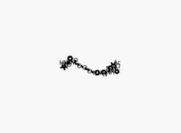 CC(=O)c1c(C)c2cnc(Nc3ccc(N4CCN(CCOCCOCCOCCC(=O)Nc5ccccc5C(=O)Nc5nc(C)c(C)s5)CC4)cn3)nc2n(C2CCCC2)c1=O